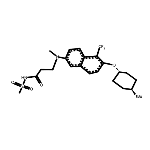 CN(CCC(=O)NS(C)(=O)=O)c1ccc2c(C(F)(F)F)c(O[C@H]3CC[C@H](C(C)(C)C)CC3)ccc2c1